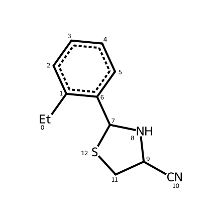 CCc1ccccc1C1NC(C#N)CS1